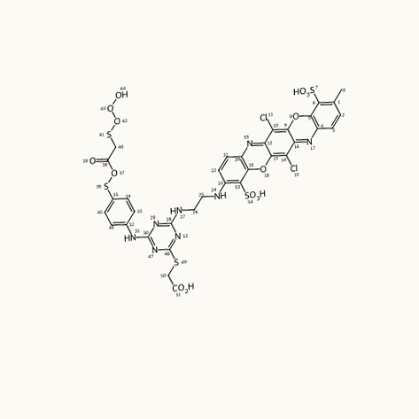 Cc1ccc2c(c1S(=O)(=O)O)Oc1c(Cl)c3c(c(Cl)c1=N2)Oc1c(ccc(NCCNc2nc(Nc4ccc(SOC(=O)CSOOO)cc4)nc(SCC(=O)O)n2)c1S(=O)(=O)O)N=3